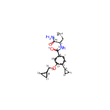 CC(C)CC(NC(=O)c1ccc(C2CC2)c(OCC2CC2)c1)C(N)=O